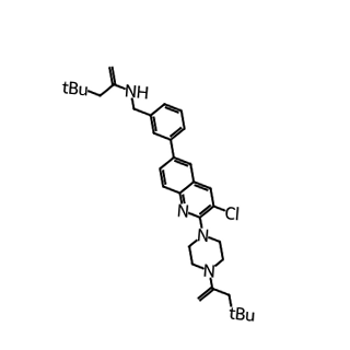 C=C(CC(C)(C)C)NCc1cccc(-c2ccc3nc(N4CCN(C(=C)CC(C)(C)C)CC4)c(Cl)cc3c2)c1